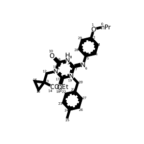 CCCOc1ccc(/N=c2\[nH]c(=O)n(CC3(C(=O)OCC)CC3)c(=O)n2Cc2ccc(C)cc2)cc1